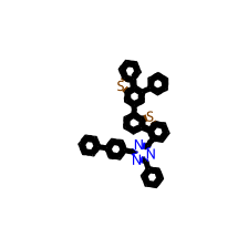 c1ccc(-c2ccc(-c3nc(-c4ccccc4)nc(-c4cccc5sc6c(-c7cc(-c8ccccc8)c8c(c7)sc7ccccc78)cccc6c45)n3)cc2)cc1